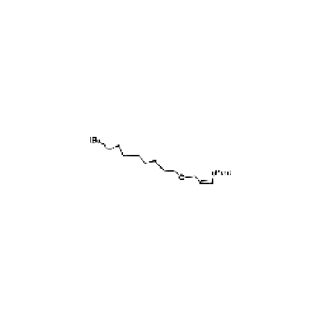 CCCCC/C=C\COCCCCCCCCC(C)(C)C